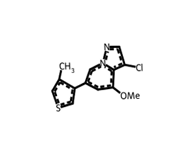 COc1cc(-c2cscc2C)cn2ncc(Cl)c12